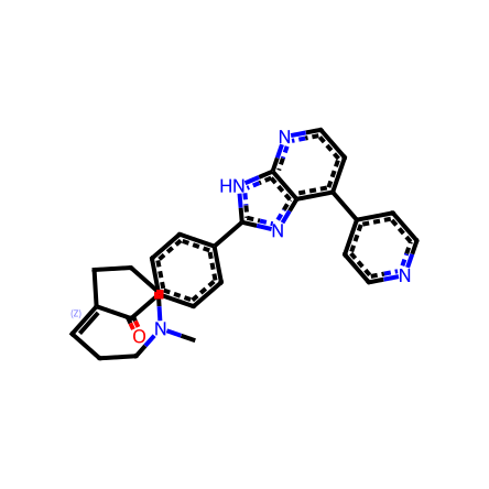 CN1CC/C=C(\C(=O)c2ccc(-c3nc4c(-c5ccncc5)ccnc4[nH]3)cc2)CCC1